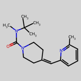 Cc1cccc(C=C2CCN(C(=O)N(C)C(C)(C)C)CC2)n1